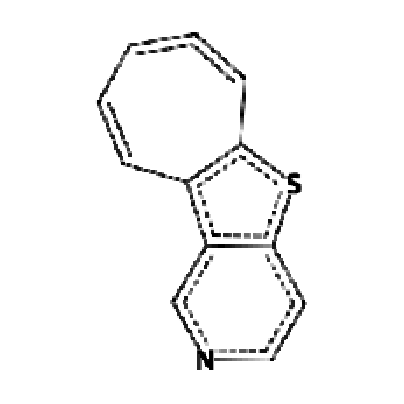 C1=CC=Cc2c(sc3ccncc23)C=1